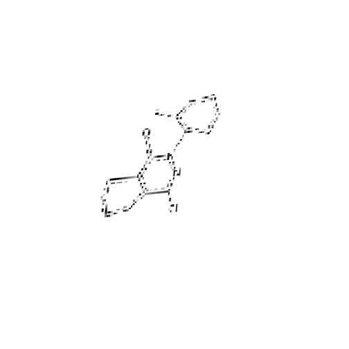 O=c1c2ccccc2c(Cl)nn1-c1ccccc1F